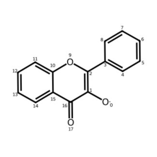 [O]c1c(-c2ccccc2)oc2ccccc2c1=O